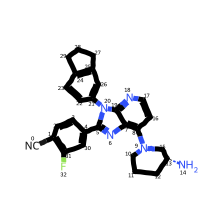 N#Cc1ccc(-c2nc3c(N4CCC[C@@H](N)C4)ccnc3n2-c2ccc3c(c2)CCC3)cc1F